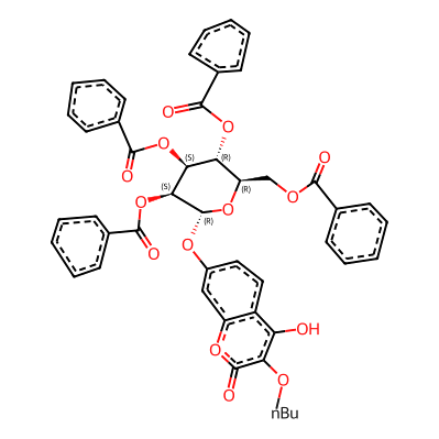 CCCCOc1c(O)c2ccc(O[C@H]3O[C@H](COC(=O)c4ccccc4)[C@@H](OC(=O)c4ccccc4)[C@H](OC(=O)c4ccccc4)[C@@H]3OC(=O)c3ccccc3)cc2oc1=O